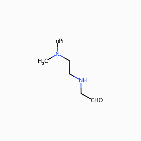 CCCN(C)CCNCC=O